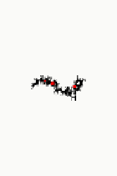 CCCC(C)C(=O)On1cc(C2CCN(C(=O)CCc3cnc(NC4Cc5cc(F)c(F)cc5C4)nc3)C2)nn1